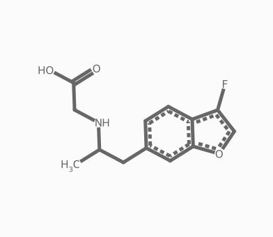 CC(Cc1ccc2c(F)coc2c1)NCC(=O)O